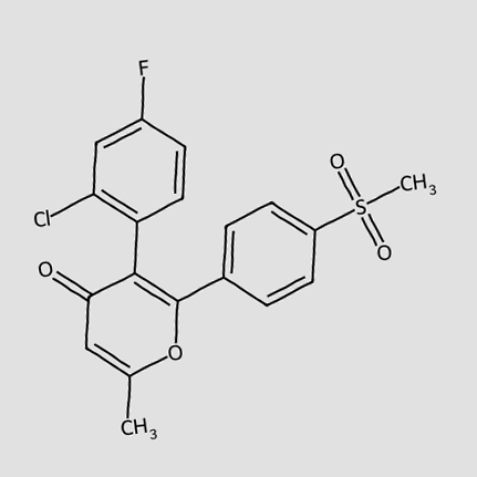 Cc1cc(=O)c(-c2ccc(F)cc2Cl)c(-c2ccc(S(C)(=O)=O)cc2)o1